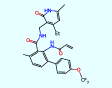 C=CC(=O)Nc1c(-c2ccc(OC(F)(F)F)cc2)ccc(C)c1C(=O)NCc1c(CC)cc(C)[nH]c1=O